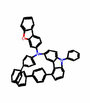 c1ccc(-c2ccc(-c3cccc4c3c3cc(N(c5ccc(-c6ccccc6)cc5)c5ccc6c(c5)oc5ccccc56)ccc3n4-c3ccccc3)cc2)cc1